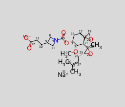 CO[C@@H]1[C@H](OC(=O)N2CC(CCC(=O)[O-])C2)CC[C@]2(CO2)[C@H]1[C@@]1(C)O[C@@H]1CC=C(C)C.[Na+]